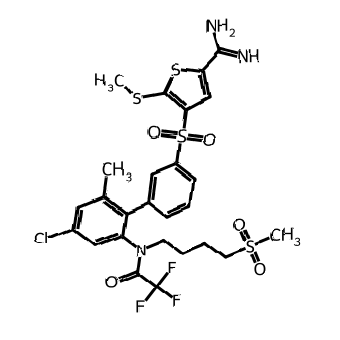 CSc1sc(C(=N)N)cc1S(=O)(=O)c1cccc(-c2c(C)cc(Cl)cc2N(CCCCS(C)(=O)=O)C(=O)C(F)(F)F)c1